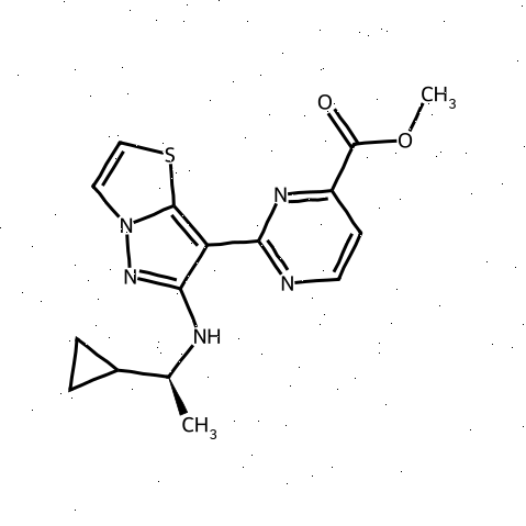 COC(=O)c1ccnc(-c2c(N[C@@H](C)C3CC3)nn3ccsc23)n1